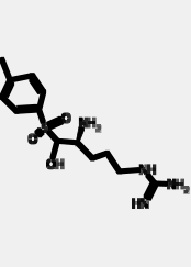 Cc1ccc(S(=O)(=O)C(O)[C@@H](N)CCCNC(=N)N)cc1